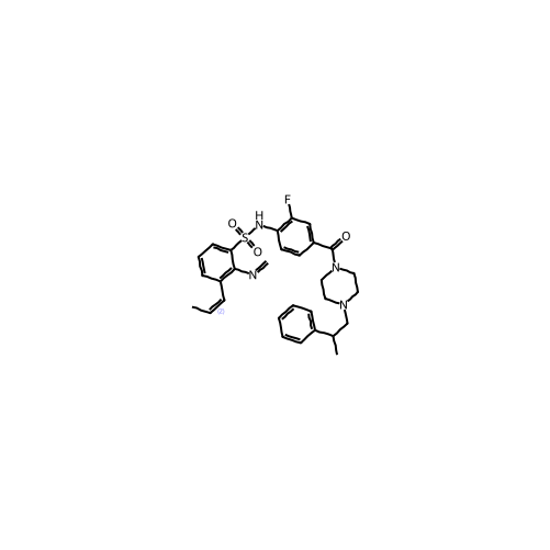 C=Nc1c(/C=C\C)cccc1S(=O)(=O)Nc1ccc(C(=O)N2CCN(CC(C)c3ccccc3)CC2)cc1F